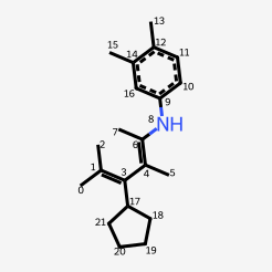 CC(C)=C(/C(C)=C(\C)Nc1ccc(C)c(C)c1)C1CCCC1